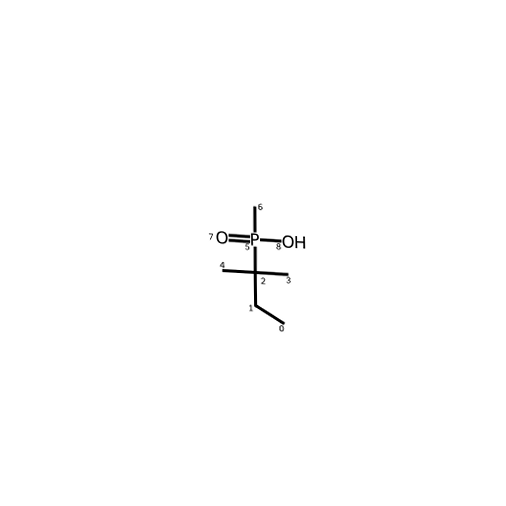 CCC(C)(C)P(C)(=O)O